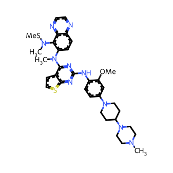 COc1cc(N2CCC(N3CCN(C)CC3)CC2)ccc1Nc1nc(N(C)c2ccc3nccnc3c2N(C)SC)c2ccsc2n1